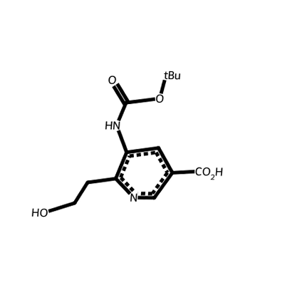 CC(C)(C)OC(=O)Nc1cc(C(=O)O)cnc1CCO